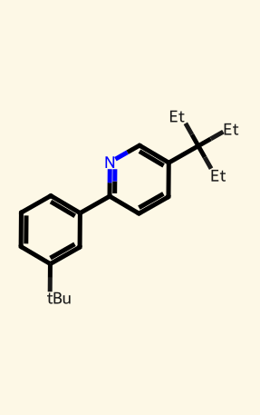 CCC(CC)(CC)c1ccc(-c2cccc(C(C)(C)C)c2)nc1